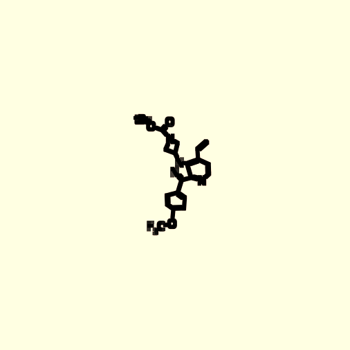 C=Cc1ccnc2c(-c3ccc(OC(F)(F)F)cc3)nn(C3CN(C(=O)OC(C)(C)C)C3)c12